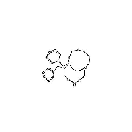 c1ccc(CC2CCNCCN3CCCNCC[N+]2(Cc2ccccc2)CC3)cc1